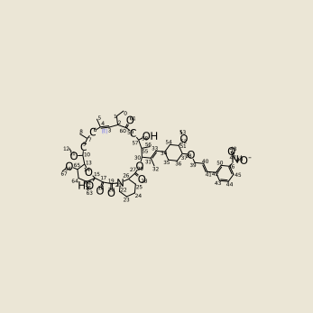 CCC1/C=C(\C)CC(C)CC(OC)C2OC(O)(C(=O)C(=O)N3CCCCC3C(=O)OC(C(C)=CC3CCC(OCC=Cc4cccc([N+](=O)[O-])c4)C(OC)C3)C(C)C(O)CC1=O)C(C)CC2OC